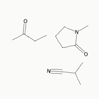 CC(C)C#N.CCC(C)=O.CN1CCCC1=O